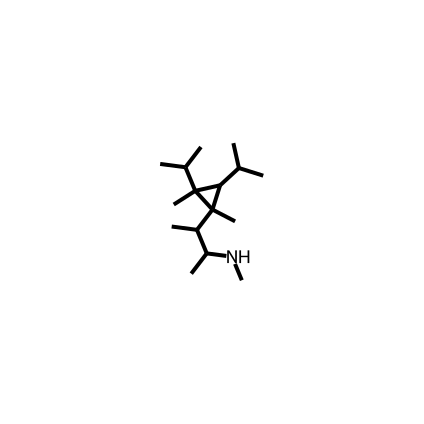 CNC(C)C(C)C1(C)C(C(C)C)C1(C)C(C)C